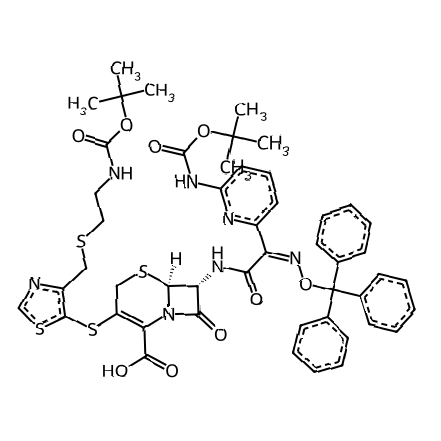 CC(C)(C)OC(=O)NCCSCc1ncsc1SC1=C(C(=O)O)N2C(=O)[C@@H](NC(=O)/C(=N\OC(c3ccccc3)(c3ccccc3)c3ccccc3)c3cccc(NC(=O)OC(C)(C)C)n3)[C@@H]2SC1